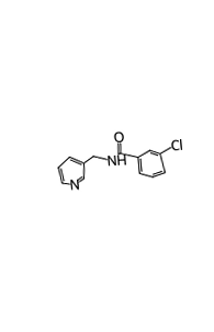 O=C(NCc1cccnc1)c1cccc(Cl)c1